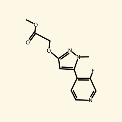 COC(=O)COc1cc(-c2ccncc2F)n(C)n1